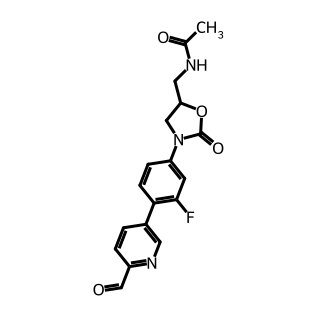 CC(=O)NCC1CN(c2ccc(-c3ccc(C=O)nc3)c(F)c2)C(=O)O1